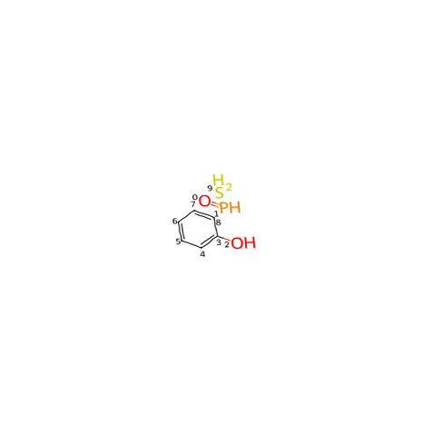 O=P.Oc1ccccc1.S